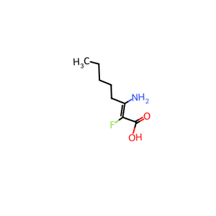 CCCCCC(N)=C(F)C(=O)O